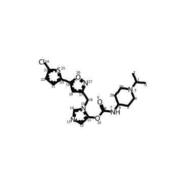 CC(C)N1CCC(NC(=O)Oc2cncn2Cc2cc(-c3ccc(Cl)s3)on2)CC1